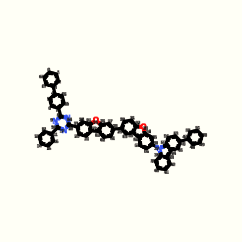 c1ccc(-c2ccc(-c3nc(-c4ccccc4)nc(-c4ccc5c(c4)oc4cc(-c6ccc7oc8cc(-n9c%10ccccc%10c%10cc(-c%11ccccc%11)ccc%109)ccc8c7c6)ccc45)n3)cc2)cc1